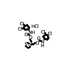 Cl.O=C(Nc1ccc(Cl)c(Cl)c1)OCC[N+]1(CCOC(=O)Nc2ccc(Cl)c(Cl)c2)CCCSC1